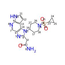 NC(=O)Cc1nc2cnc3[nH]ccc3c2n1C1CCN(S(=O)(=O)C2CC2)CC1